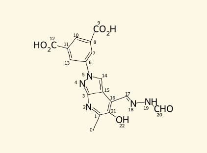 Cc1nc2nn(-c3cc(C(=O)O)cc(C(=O)O)c3)cc2c(/C=N/NC=O)c1O